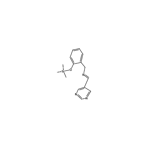 C[Si](C)(C)Oc1ccccc1CN=Cc1cncnc1